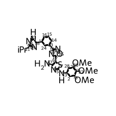 COc1cc(Nc2nc(N)c(-c3nc(-c4cccc(-c5nc(C(C)C)n[nH]5)c4)no3)s2)cc(OC)c1OC